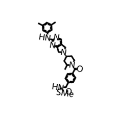 CSNC(=O)c1ccc(C(=O)N2CC[C@H](N3Cc4cnc(Nc5cc(C)cc(C)c5)nc4C3)CC2C)cc1